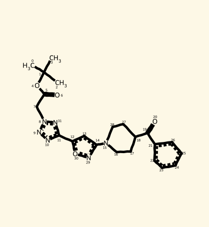 CC(C)(C)OC(=O)Cn1nnc(-c2cc(N3CCC(C(=O)c4ccccc4)CC3)no2)n1